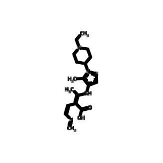 C=N/C=C\C(C(=O)O)=C(/C)Nc1cnn(C2CCN(CC)CC2)c1C